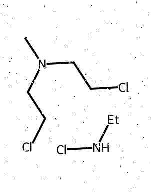 CCNCl.CN(CCCl)CCCl